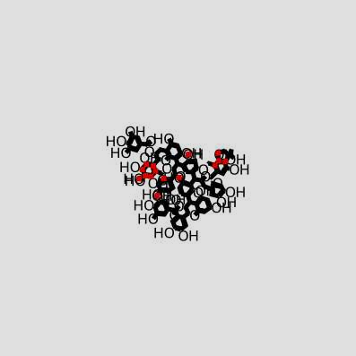 CC1(C)CCC(CCOc2cc(O)c3c(c2C2c4c(O)cc(O)c(C5c6c(O)cc(O)cc6OC(c6ccc(O)c(O)c6)C5OC(=O)c5cc(O)c(O)c(O)c5)c4OC(c4ccc(O)c(O)c4)C2OC(=O)c2cc(O)c(O)c(O)c2)OC(c2ccc(O)c(O)c2)C(OC(=O)c2cc(O)c(O)c(O)c2)C3c2c(O)cc(O)c3c2OC(c2ccc(O)c(O)c2)C(OC(=O)c2cc(O)c(O)c(O)c2)C3)C1